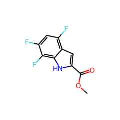 COC(=O)c1cc2c(F)cc(F)c(F)c2[nH]1